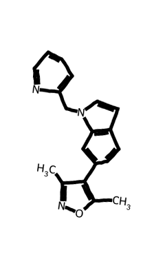 Cc1noc(C)c1-c1ccc2ccn(Cc3ccccn3)c2c1